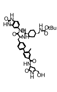 Cc1cc(C(=O)N[C@@H]2C[C@@H](CO)NC2=O)ccc1-c1ccc(C[C@H](NC(=O)[C@H]2CC[C@H](CNC(=O)OC(C)(C)C)CC2)C(=O)Nc2ccc3[nH]c(=O)[nH]c3c2)cc1